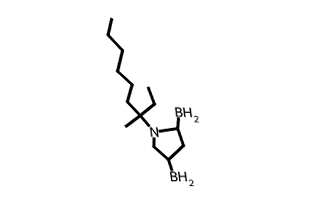 BC1CC(B)N(C(C)(CC)CCCCCC)C1